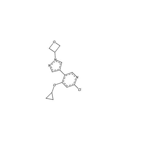 Clc1cc(OC2CC2)c(-c2cnn(C3COC3)c2)cn1